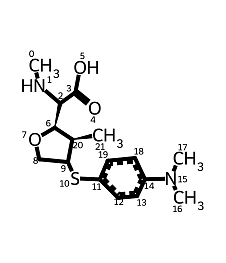 CNC(C(=O)O)[C@@H]1OCC(Sc2ccc(N(C)C)cc2)[C@@H]1C